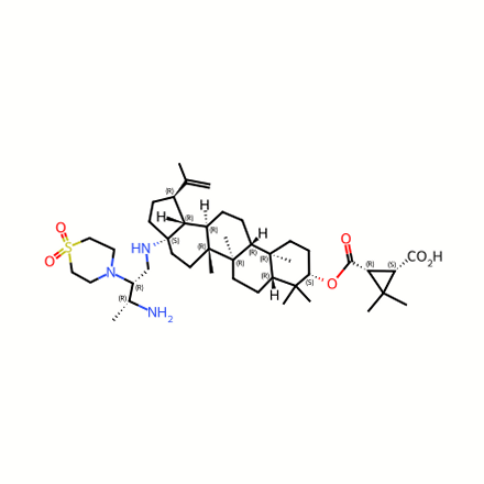 C=C(C)[C@@H]1CC[C@]2(NC[C@H]([C@@H](C)N)N3CCS(=O)(=O)CC3)CC[C@]3(C)[C@H](CC[C@@H]4[C@@]5(C)CC[C@H](OC(=O)[C@@H]6[C@H](C(=O)O)C6(C)C)C(C)(C)[C@@H]5CC[C@]43C)[C@@H]12